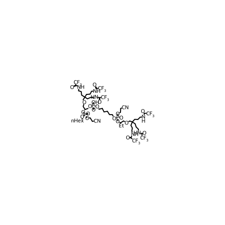 CCCCCCOP(=O)(OCCC#N)OC(COCC(CCCNC(=O)C(F)(F)F)(CCCNC(=O)C(F)(F)F)CCCNC(=O)C(F)(F)F)COP(=O)(O)OCCCCCCOP(=O)(OCCC#N)OC(CC)COCC(CCCNC(=O)C(F)(F)F)(CCCNC(=O)C(F)(F)F)CCCNC(=O)C(F)(F)F